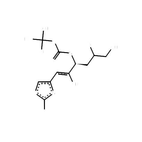 C/C(=C\c1csc(C)n1)[C@H](CC(O)CO)NC(=O)OC(C)(C)C